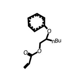 C=CC(=O)OCC(CCCC)Oc1ccccc1